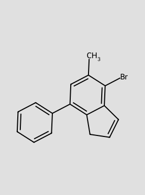 Cc1cc(-c2ccccc2)c2c(c1Br)C=CC2